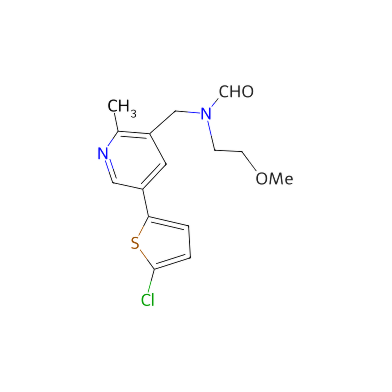 COCCN(C=O)Cc1cc(-c2ccc(Cl)s2)cnc1C